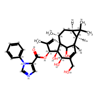 CC1=C[C@]23C(O)[C@@H](C=C(CO)[C@@H](O)[C@]2(O)[C@H]1OC(=O)c1cncn1-c1ccccc1)[C@H]1[C@@H](C[C@H]3C)C1(C)C